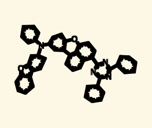 c1ccc(-c2nc(-c3ccccc3)nc(-c3ccc4c5c(cccc35)-c3cc(N(c5ccccc5)c5ccc6c(c5)oc5ccccc56)ccc3O4)n2)cc1